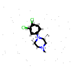 C[C@@H]1CN(C)C[C@H](C)N1c1ccc(Cl)c(Cl)c1